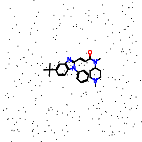 CN1CCC(N(C)C(=O)C=Cc2nc3cc(C(C)(C)C)ccc3n2-c2ccccc2)CC1